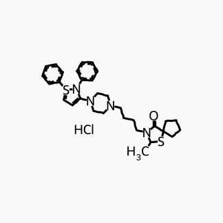 CC1SC2(CCCC2)C(=O)N1CCCCN1CCN(C2=CC=S(c3ccccc3)N2c2ccccc2)CC1.Cl